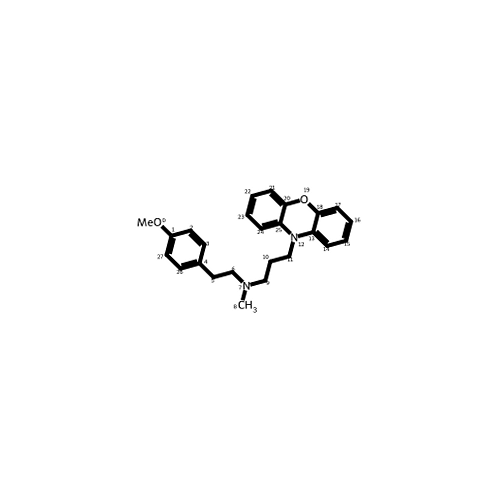 COc1ccc(CCN(C)CCCN2c3ccccc3Oc3ccccc32)cc1